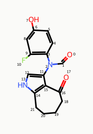 O=CN(c1ccc(O)cc1F)c1c[nH]c2c1C(=O)CCCC2